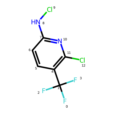 FC(F)(F)c1ccc(NCl)nc1Cl